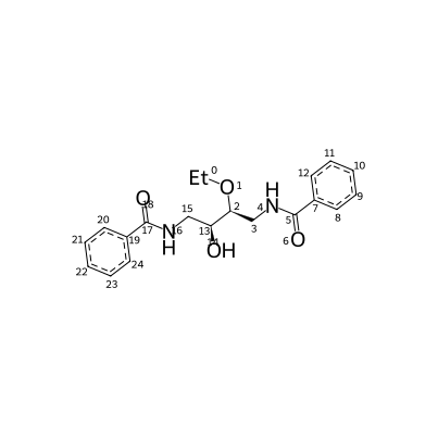 CCO[C@@H](CNC(=O)c1ccccc1)[C@@H](O)CNC(=O)c1ccccc1